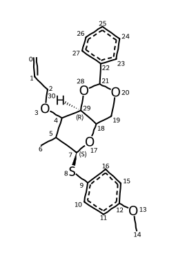 C=CCOC1C(C)[C@H](Sc2ccc(OC)cc2)OC2COC(c3ccccc3)O[C@@H]21